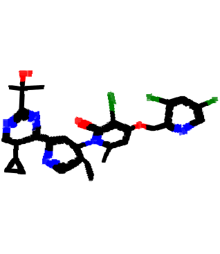 Cc1cnc(-c2nc(C(C)(C)O)ncc2C2CC2)cc1-n1c(C)cc(OCc2ncc(F)cc2F)c(Cl)c1=O